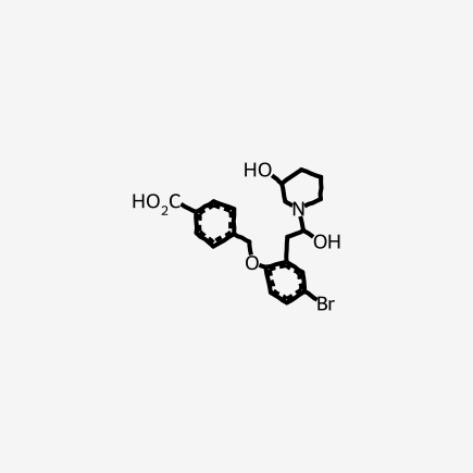 O=C(O)c1ccc(COc2ccc(Br)cc2CC(O)N2CCCC(O)C2)cc1